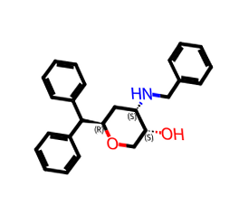 O[C@@H]1CO[C@@H](C(c2ccccc2)c2ccccc2)C[C@@H]1NCc1ccccc1